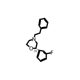 Fc1cccc([C@H]2CN(CCc3ccccc3)CCO2)c1